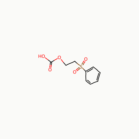 O=C(O)OCCS(=O)(=O)c1ccccc1